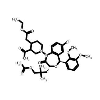 CCOC(=O)CC1CCN(N2C(=O)[C@@H](CC(C)(C)COC(C)=O)O[C@H](c3cccc(OC)c3OC)c3cc(Cl)ccc32)CC1C(C)=O